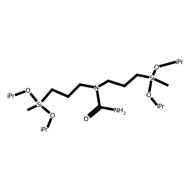 CC(C)O[Si](C)(CCCN(CCC[Si](C)(OC(C)C)OC(C)C)C(N)=O)OC(C)C